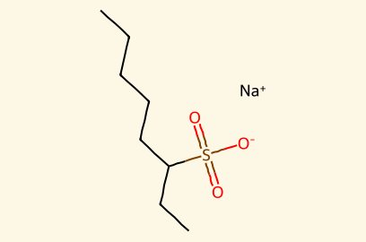 CCCCCC(CC)S(=O)(=O)[O-].[Na+]